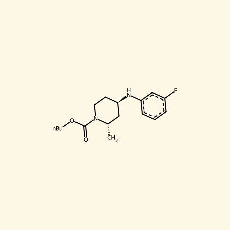 CCCCOC(=O)N1CC[C@@H](Nc2cccc(F)c2)C[C@@H]1C